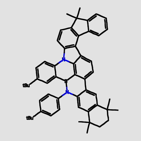 CC(C)(C)c1ccc(N2B3c4cc(C(C)(C)C)ccc4-n4c5ccc6c(c5c5ccc(c3c54)-c3cc4c(cc32)C(C)(C)CCC4(C)C)-c2ccccc2C6(C)C)cc1